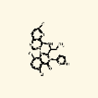 CCC(Nc1ncnc2ccc(Cl)nc12)c1nc2c(Cl)ccc(Cl)c2c(=O)n1-c1cc[nH]n1